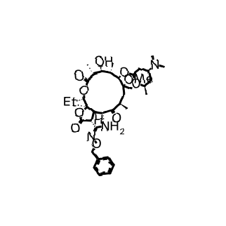 CC[C@@H]1OC(=O)[C@H](C)[C@H](O)[C@H](C)[C@@H](OC2C[C@@H](N(C)C)C[C@@H](C)O2)[C@](C)(OC)C[C@@H](C)C(=O)[C@H](C)[C@H]2[C@H](/C(N)=N/OCc3ccccc3)C(=O)O[C@]21C